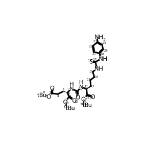 CC(C)(C)OC(=O)CC[C@H](NC(=O)N[C@@H](CCCCNC(=S)Nc1ccc(N)cc1)C(=O)OC(C)(C)C)C(=O)OC(C)(C)C